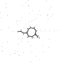 CCCC1CCCCC(F)CC1